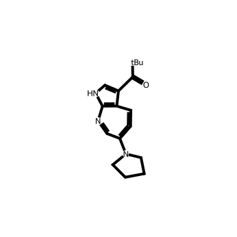 CC(C)(C)C(=O)c1c[nH]c2c1C=C=C(N1CCCC1)C=N2